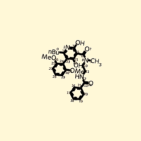 CCCCc1nc(O)c(C(=O)N(C)CCNC(=O)c2ccccc2)c(O)c1-c1c(OC)cccc1OC